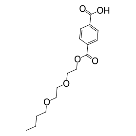 CCCCOCCOCCOC(=O)c1ccc(C(=O)O)cc1